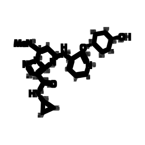 CNc1cc(Nc2cccnc2O[C@H]2CC[C@H](O)CC2)nc2c(C(=O)NC3CC3)cnn12